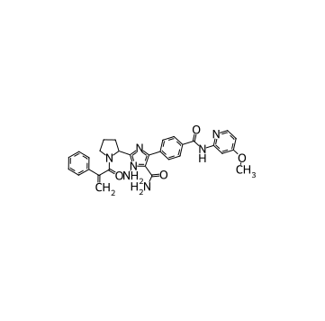 C=C(C(=O)N1CCCC1c1nc(-c2ccc(C(=O)Nc3cc(OC)ccn3)cc2)c(C(N)=O)n1N)c1ccccc1